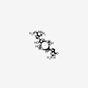 C=Nc1c(/C(N)=N\C)ncn1[C@@H]1O[C@@H]2COP(=O)(S)OC3C(O)[C@@H](COP(=O)(O)OC2C1O)O[C@H]3n1ccc2c(=O)[nH]c(N)nc21